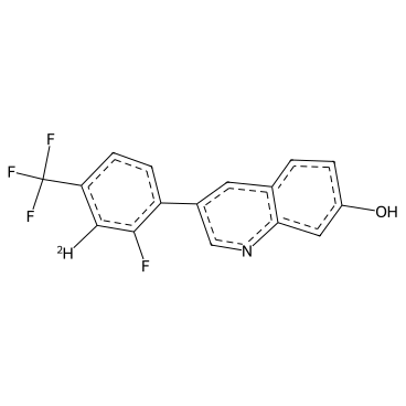 [2H]c1c(C(F)(F)F)ccc(-c2cnc3cc(O)ccc3c2)c1F